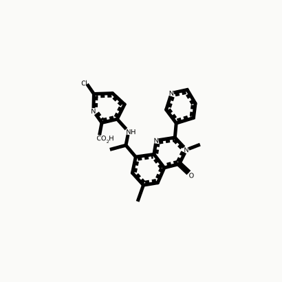 Cc1cc(C(C)Nc2ccc(Cl)nc2C(=O)O)c2nc(-c3cccnc3)n(C)c(=O)c2c1